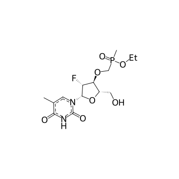 CCOP(C)(=O)CO[C@@H]1[C@@H](F)[C@@H](n2cc(C)c(=O)[nH]c2=O)O[C@H]1CO